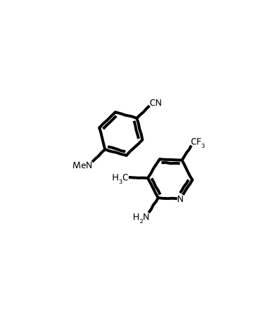 CNc1ccc(C#N)cc1.Cc1cc(C(F)(F)F)cnc1N